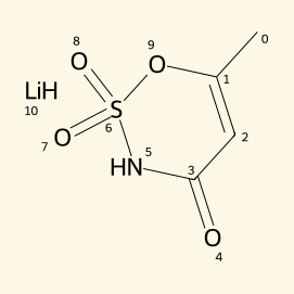 CC1=CC(=O)NS(=O)(=O)O1.[LiH]